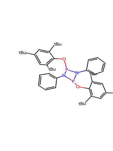 CC(C)(C)c1cc(C(C)(C)C)c(OP2N(c3ccccc3)P(Oc3c(C(C)(C)C)cc(C(C)(C)C)cc3C(C)(C)C)N2c2ccccc2)c(C(C)(C)C)c1